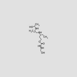 CCC(BC[C@H](C)NC(C)O)CCOC(=O)NNCO